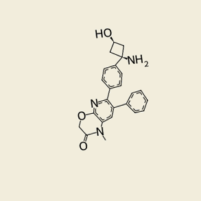 CN1C(=O)COc2nc(-c3ccc([C@]4(N)C[C@@H](O)C4)cc3)c(-c3ccccc3)cc21